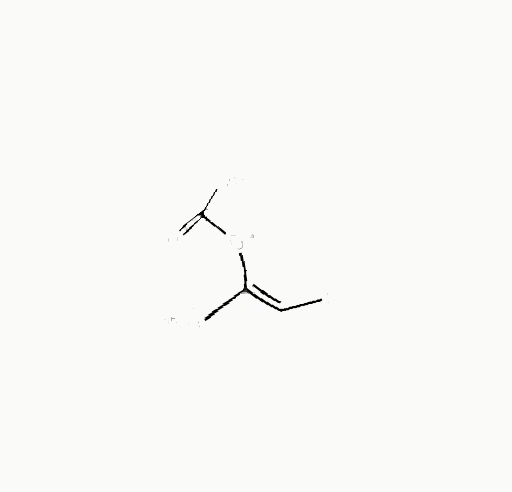 C/C=C(/CCCCC)OC(=O)CCCC